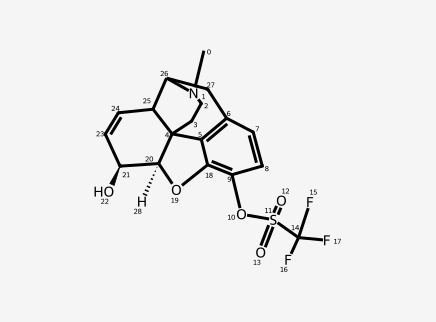 CN1CCC23c4c5ccc(OS(=O)(=O)C(F)(F)F)c4O[C@H]2[C@@H](O)C=CC3C1C5